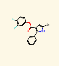 CCc1cc(C(=O)Oc2ccc(F)c(F)c2)c(-c2ccccc2)[nH]1